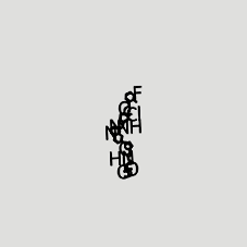 CC1C(COc2ccc(Nc3ncnc4ccc(-c5ccc(CNCCS(C)(=O)=O)o5)cc34)cc2Cl)=CC=CC1F